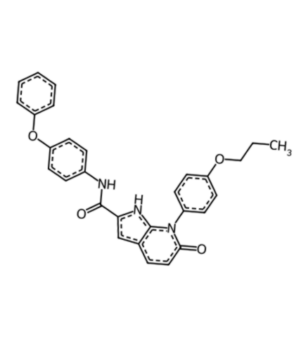 CCCOc1ccc(-n2c(=O)ccc3cc(C(=O)Nc4ccc(Oc5ccccc5)cc4)[nH]c32)cc1